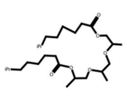 CC(C)CCCCCC(=O)OCC(C)OCC(C)OCC(C)OC(=O)CCCCCC(C)C